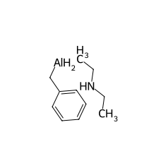 CCNCC.[AlH2][CH2]c1ccccc1